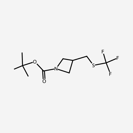 CC(C)(C)OC(=O)N1CC(CSC(F)(F)F)C1